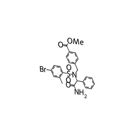 COC(=O)c1ccc(CN(C(C(N)=O)c2ccccc2)S(=O)(=O)c2ccc(Br)cc2C)cc1